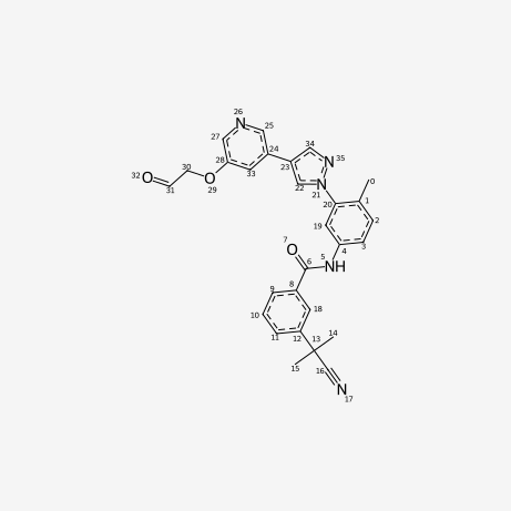 Cc1ccc(NC(=O)c2cccc(C(C)(C)C#N)c2)cc1-n1cc(-c2cncc(OCC=O)c2)cn1